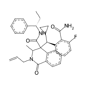 C=CCN1C(=O)c2ccccc2C(C(=O)N[C@@H](CC)c2ccccc2)([C@H](c2cccc(F)c2C(N)=O)C2CC2)C1C